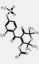 CCC(=O)OC1=C(C(=O)c2ccc(OS(C)(=O)=O)cc2[N+](=O)[O-])C(=O)C(C)(C)OC1(C)C